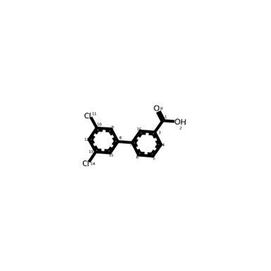 O=C(O)c1cccc(-c2cc(Cl)cc(Cl)c2)c1